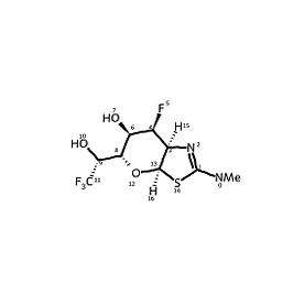 CNC1=N[C@@H]2[C@H](F)[C@H](O)[C@@H]([C@@H](O)C(F)(F)F)O[C@@H]2S1